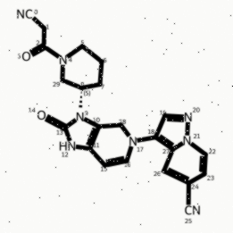 N#CCC(=O)N1CCC[C@H](n2c3c([nH]c2=O)C=CN(c2cnn4ccc(C#N)cc24)C3)C1